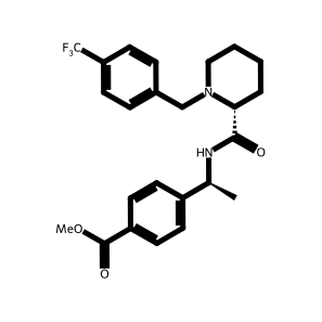 COC(=O)c1ccc([C@H](C)NC(=O)[C@H]2CCCCN2Cc2ccc(C(F)(F)F)cc2)cc1